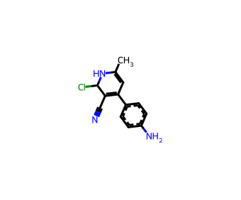 CC1=CC(c2ccc(N)cc2)=C(C#N)C(Cl)N1